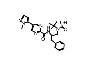 Cn1nccc1-c1cnc(C(=O)NC(Cc2ccccc2)CN(C(=O)O)C(C)(C)C)nc1